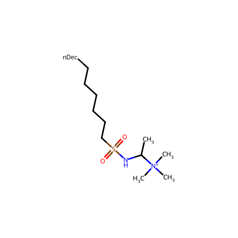 CCCCCCCCCCCCCCCCS(=O)(=O)NC(C)[N+](C)(C)C